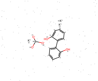 Oc1ccccc1-c1ccccc1O.[K+].[K+].[K+].[O-]B([O-])[O-]